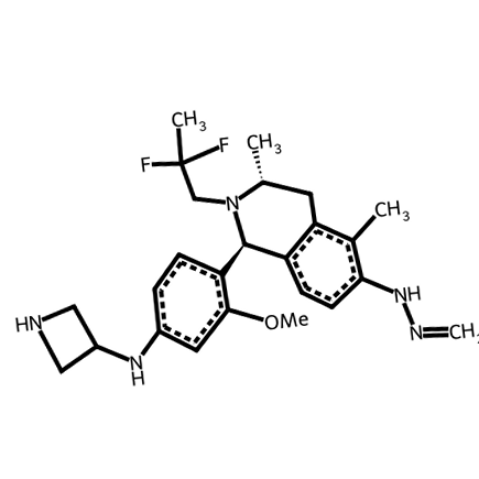 C=NNc1ccc2c(c1C)C[C@@H](C)N(CC(C)(F)F)[C@@H]2c1ccc(NC2CNC2)cc1OC